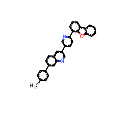 Cc1ccc(-c2ccc3cc(-c4ccc(-c5cccc6c5oc5ccccc56)nc4)cnc3c2)cc1